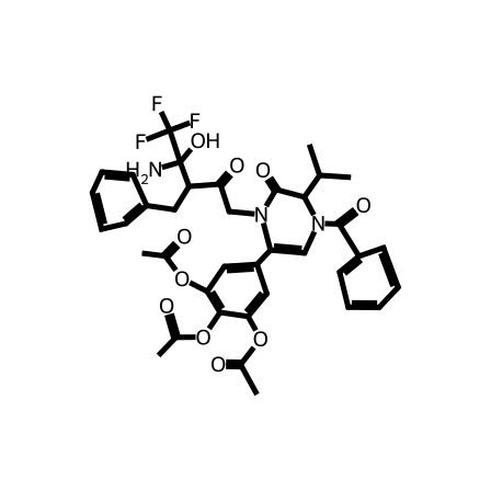 CC(=O)Oc1cc(C2=CN(C(=O)c3ccccc3)C(C(C)C)C(=O)N2CC(=O)C(Cc2ccccc2)C(N)(O)C(F)(F)F)cc(OC(C)=O)c1OC(C)=O